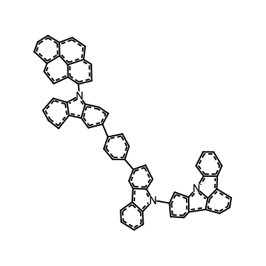 c1cc2ccc3ccc(-n4c5ccccc5c5cc(-c6ccc(-c7ccc8c(c7)c7ccccc7n8-c7ccc8c9cccc%10c%11ccccc%11n(c8c7)c%109)cc6)ccc54)c4ccc(c1)c2c34